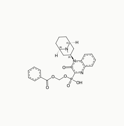 CN1[C@@H]2CCC[C@H]1C[C@@H](n1c(=O)c(P(=O)(O)OCOC(=O)c3ccccc3)nc3ccccc31)C2